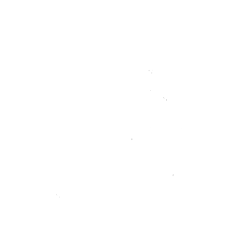 [2H]C[C@H]1O[C@@H](n2ccc(=O)[nH]c2=O)[C@@H](OC)C1OP(=O)(O)OCCC#N